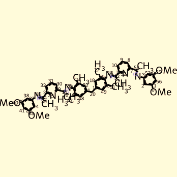 COc1cc(/N=C(\C)c2cccc(/C(C)=N/c3c(C)cc(Cc4cc(C)c(/N=C(\C)c5cccc(/C(C)=N/c6cc(OC)cc(OC)c6)n5)c(C)c4)cc3C)n2)cc(OC)c1